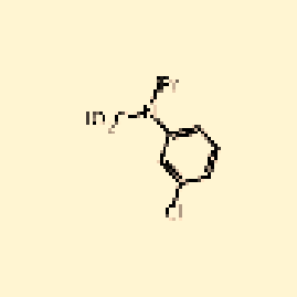 CC(C)N(C(=O)O)c1cccc(Cl)c1